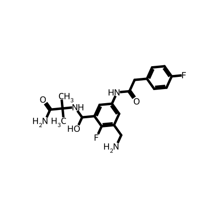 CC(C)(NC(O)c1cc(NC(=O)Cc2ccc(F)cc2)cc(CN)c1F)C(N)=O